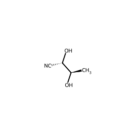 C[C@@H](O)[C@@H](O)C#N